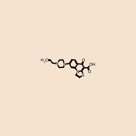 C=CCN1CCN(c2ccc3c(=O)c(C(=O)O)c4sccn4c3c2)CC1